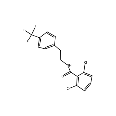 O=C(NCCc1ccc(C(F)(F)F)cc1)c1c(Cl)cccc1Cl